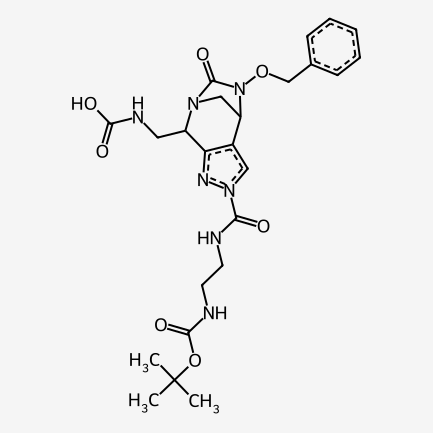 CC(C)(C)OC(=O)NCCNC(=O)n1cc2c(n1)C(CNC(=O)O)N1CC2N(OCc2ccccc2)C1=O